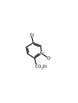 CCOC(=O)c1ccc(CC)c[n+]1[O-]